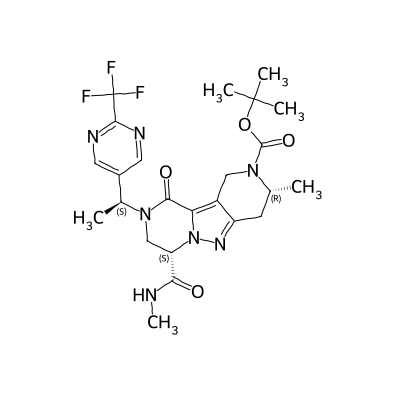 CNC(=O)[C@@H]1CN([C@@H](C)c2cnc(C(F)(F)F)nc2)C(=O)c2c3c(nn21)C[C@@H](C)N(C(=O)OC(C)(C)C)C3